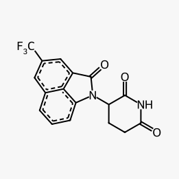 O=C1CCC(N2C(=O)c3cc(C(F)(F)F)cc4cccc2c34)C(=O)N1